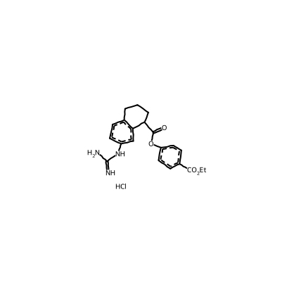 CCOC(=O)c1ccc(OC(=O)C2CCCc3ccc(NC(=N)N)cc32)cc1.Cl